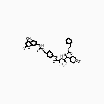 Cc1cc(=O)oc2cc(NC(=O)OCc3ccc(NC(=O)C(C)NC(=O)C(NC(=O)OCc4ccccc4)C4CC[S+]([O-])CC4)cc3)ccc12